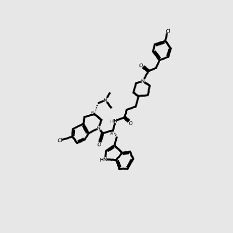 CN(C)C[C@H]1Cc2cc(Cl)ccc2N(C(=O)[C@@H](Cc2c[nH]c3ccccc23)NC(=O)CCC2CCN(C(=O)Cc3ccc(Cl)cc3)CC2)C1